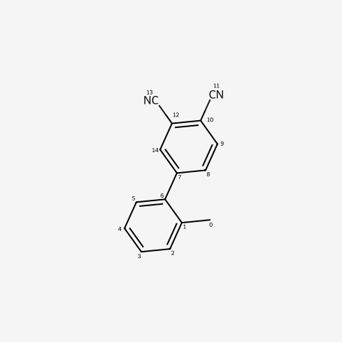 Cc1ccccc1-c1ccc(C#N)c(C#N)c1